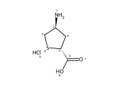 Cl.N[C@@H]1CS[C@@H](C(=O)O)C1